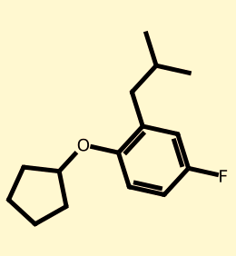 CC(C)Cc1cc(F)ccc1OC1CCCC1